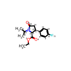 CCOC(=O)[C@@H]1[C@H](c2ccc(F)cc2)CC(=O)N1C(C)C